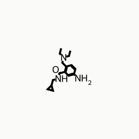 CCN(CC)Cc1ccc(N)cc1C(=O)NCC1CC1